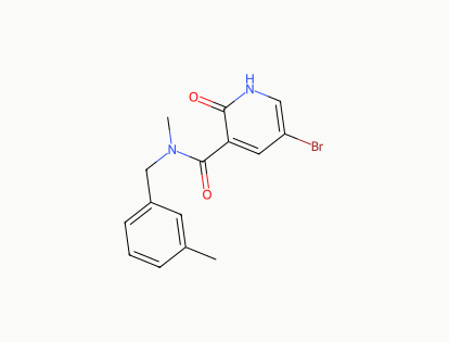 Cc1cccc(CN(C)C(=O)c2cc(Br)c[nH]c2=O)c1